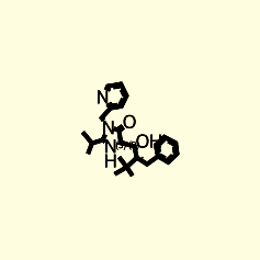 CC(C)C1N[C@@H]([C@H](O)[C](Cc2ccccc2)C(C)(C)C)C(=O)N1Cc1ccccn1